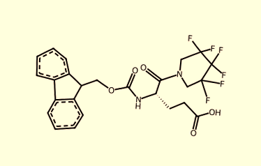 O=C(O)CC[C@H](NC(=O)OCC1c2ccccc2-c2ccccc21)C(=O)N1CC(F)(F)C(F)(F)C(F)(F)C1